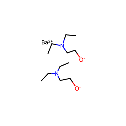 CCN(CC)CC[O-].CCN(CC)CC[O-].[Ba+2]